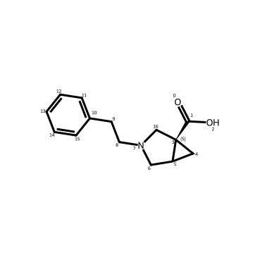 O=C(O)[C@@]12CC1CN(CCc1ccccc1)C2